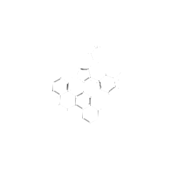 C1=Cc2c(ccc3c2CCc2ccccc2-3)CC1.CCC(C)COc1nsnc1C1=CC=CN(C)C1